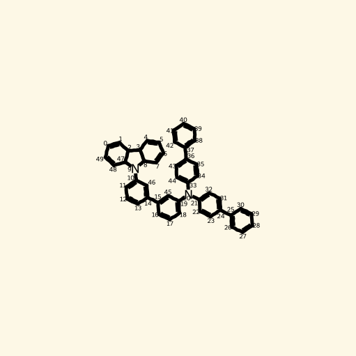 C1=CC2C3C=CC=CC3N(c3cccc(-c4cccc(N(c5ccc(-c6ccccc6)cc5)c5ccc(-c6ccccc6)cc5)c4)c3)C2C=C1